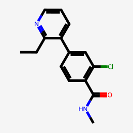 CCc1ncccc1-c1ccc(C(=O)NC)c(Cl)c1